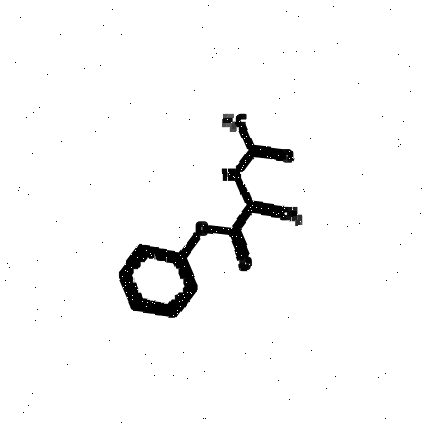 C=C(NC(C)=O)C(=O)Oc1ccccc1